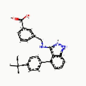 CC(C)(C)c1ccc(-c2cccc3[nH]nc(NCc4cccc(C(=O)O)c4)c23)cc1